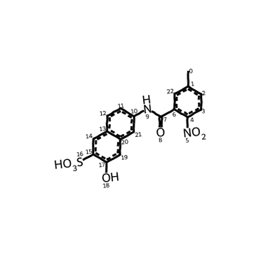 Cc1ccc([N+](=O)[O-])c(C(=O)Nc2ccc3cc(S(=O)(=O)O)c(O)cc3c2)c1